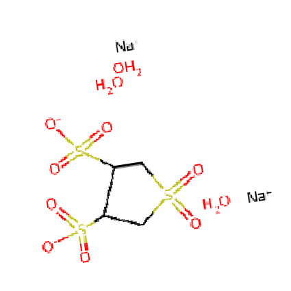 O.O.O.O=S1(=O)CC(S(=O)(=O)[O-])C(S(=O)(=O)[O-])C1.[Na+].[Na+]